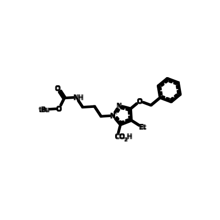 CCc1c(OCc2ccccc2)nn(CCCNC(=O)OC(C)(C)C)c1C(=O)O